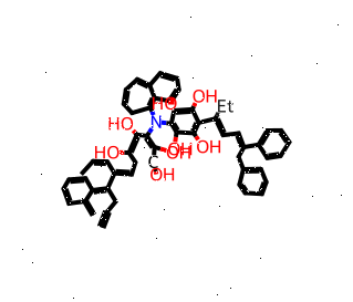 C#CCC(C(/C=C\C)=C/C/C(O)=C(O)\C(=C(\O)CO)N(C1=c2ccccc2=CC=CC1)c1c(O)c(O)c(/C(=C/C=C(\Cc2ccccc2)c2ccccc2)CC)c(O)c1O)=c1ccccc1=C